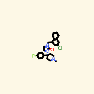 CN1CCC(c2ccc(F)cc2)(n2ccn(Cc3cc(Cl)cc4ccccc34)c2=O)CC1